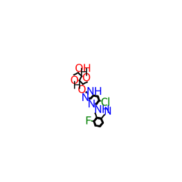 N#Cc1cccc(F)c1CNc1nc2nc(O[C@@H]3CO[C@H]4[C@@H]3OC[C@H]4O)[nH]c2cc1Cl